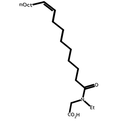 CCCCCCCC/C=C\CCCCCCCC(=O)N(CC)CC(=O)O